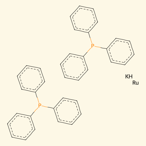 [KH].[Ru].c1ccc(P(c2ccccc2)c2ccccc2)cc1.c1ccc(P(c2ccccc2)c2ccccc2)cc1